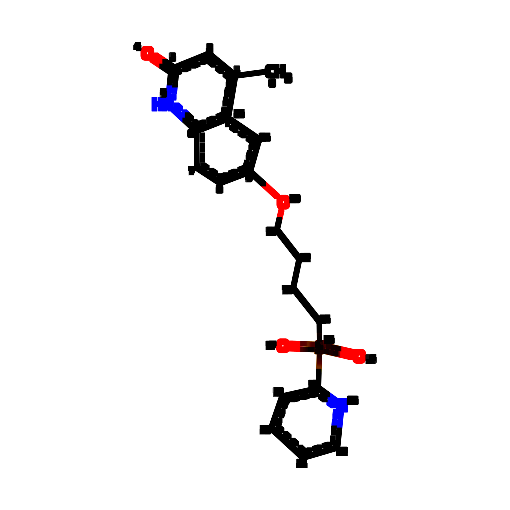 Cc1cc(=O)[nH]c2ccc(OCCCCS(=O)(=O)c3ccccn3)cc12